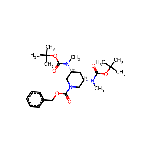 CN(C(=O)OC(C)(C)C)[C@@H]1C[C@H](N(C)C(=O)OC(C)(C)C)CN(C(=O)OCc2ccccc2)C1